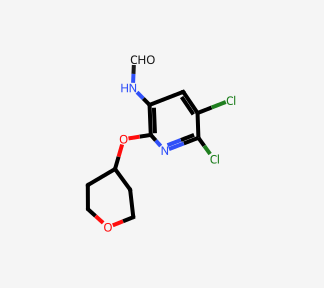 O=CNc1cc(Cl)c(Cl)nc1OC1CCOCC1